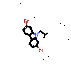 CC(C)Cn1c2cc(Br)ccc2c2ccc(Br)cc21